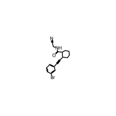 N#CCNC(=O)C1CCCCC1C#Cc1cccc(Br)c1